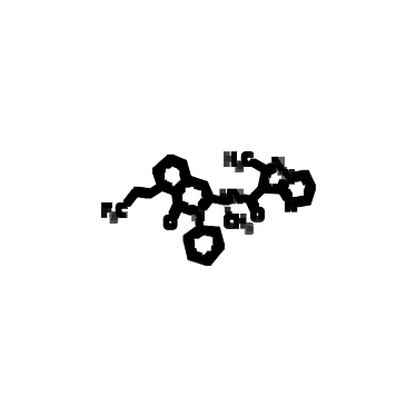 Cc1nn2cccnc2c1C(=O)N[C@H](C)c1cc2cccc(/C=C/C(F)(F)F)c2c(=O)n1-c1ccccc1